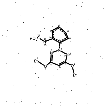 CCOC1=CC(OCC)=NN(c2ccccc2NC(=O)O)N1